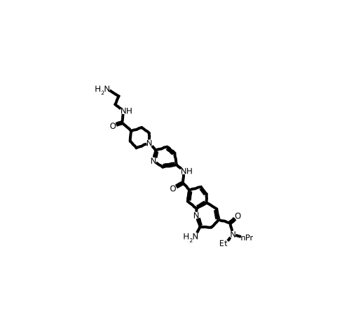 CCCN(CC)C(=O)C1=Cc2ccc(C(=O)Nc3ccc(N4CCC(C(=O)NCCN)CC4)nc3)cc2N=C(N)C1